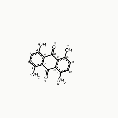 Nc1ccc(O)c2c1C(=O)c1c(N)ccc(O)c1C2=O